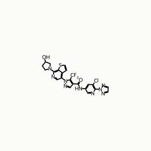 O=C(Nc1cnc(-n2nccn2)c(Cl)c1)c1cnn(-c2cnc(N3CCC(O)C3)c3sccc23)c1C(F)(F)F